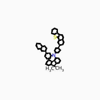 CC1(C)c2ccccc2-c2c(N(c3ccc(-c4ccc5ccc6c7ccccc7sc6c5c4)cc3)c3cccc(-c4ccc5ccccc5c4)c3)cccc21